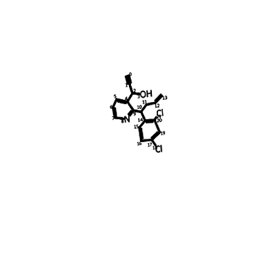 C#CC(O)c1cccnc1C(CC=C)c1ccc(Cl)cc1Cl